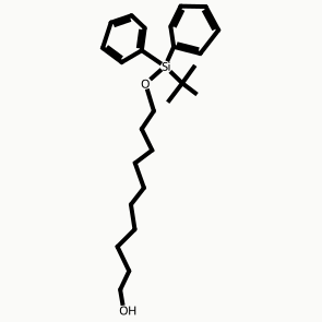 CC(C)(C)[Si](OCCCCCCCCCCO)(c1ccccc1)c1ccccc1